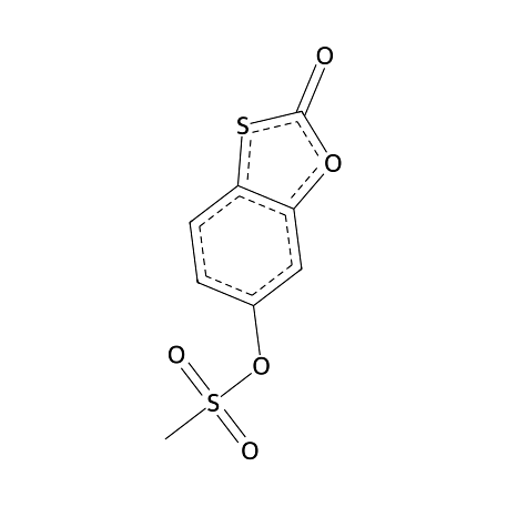 CS(=O)(=O)Oc1ccc2sc(=O)oc2c1